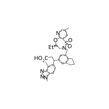 CC[C@@H]1CN(Cc2cc(C(CC(=O)O)c3ccc4c(nnn4C)c3C)cc3c2CCC3)S(=O)(=O)c2cc(C)cnc2O1